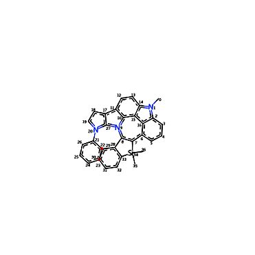 Cn1c2cccc3c4c(n5c6c(ccc1c6c32)c1ccn(-c2ccccc2)c15)-c1ccccc1[Si]4(C)C